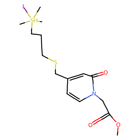 COC(=O)Cn1ccc(CSCCC[SH](C)(C)(C)I)cc1=O